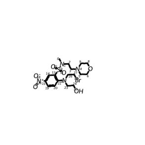 CN(CCN1CCOCC1)S(=O)(=O)c1cc([N+](=O)[O-])ccc1N(CCO)CCBr